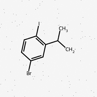 [CH2]C(C)c1cc(Br)ccc1I